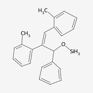 Cc1ccccc1C=C(c1ccccc1C)C(O[SiH3])c1ccccc1